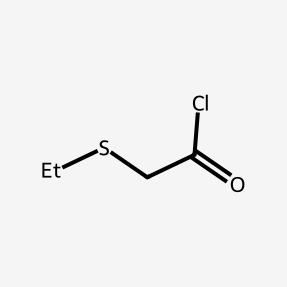 CCSCC(=O)Cl